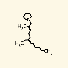 CCCCC/C=C(/CC)CC/C=C(\C)CN1CCCCC1